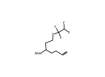 C=CCCC(CCOC(F)(F)C(F)F)NC